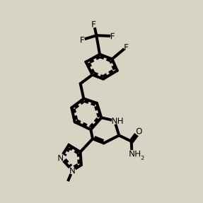 Cn1cc(C2=CC(C(N)=O)Nc3cc(Cc4ccc(F)c(C(F)(F)F)c4)ccc32)cn1